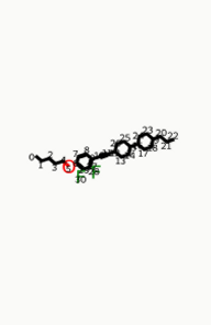 CCCCCOc1ccc(C#CC2CCC(C3CCC(CCC)CC3)CC2)c(F)c1F